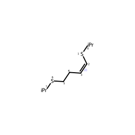 CC(C)S/C=C\CCSC(C)C